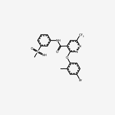 Cc1cc(Br)ccc1Oc1nnc(C(F)(F)F)cc1C(=O)Nc1cccc(S(C)(=N)=O)c1